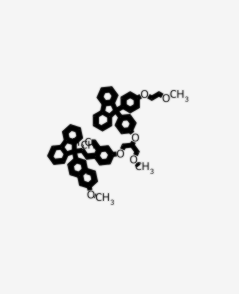 C/C=c1/cc(OCC(COC)Oc2ccc(C3(c4ccc(OCCOC)cc4)c4ccccc4C4C=CC=CC43)cc2)cc/c1=C/C(C)C1(c2ccc3cc(OC)ccc3c2)c2ccccc2C2C=CC=CC21